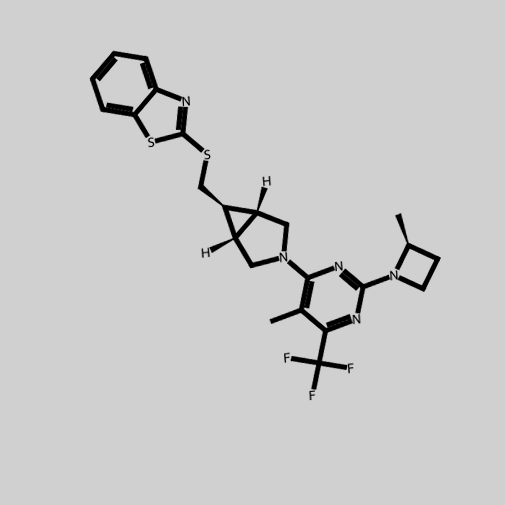 Cc1c(N2C[C@@H]3[C@@H](CSc4nc5ccccc5s4)[C@@H]3C2)nc(N2CC[C@@H]2C)nc1C(F)(F)F